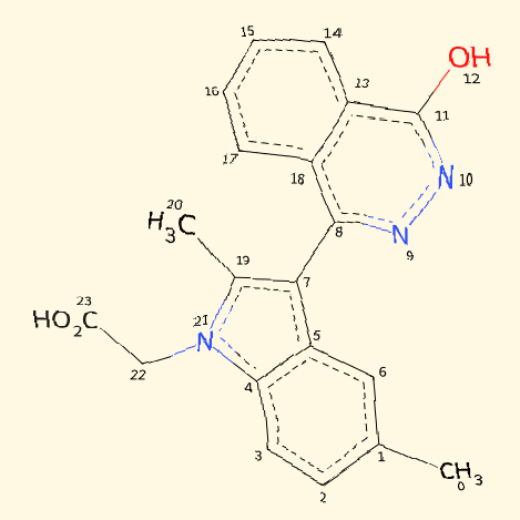 Cc1ccc2c(c1)c(-c1nnc(O)c3ccccc13)c(C)n2CC(=O)O